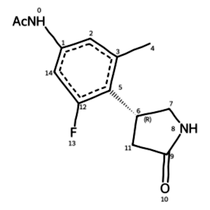 CC(=O)Nc1cc(C)c([C@@H]2CNC(=O)C2)c(F)c1